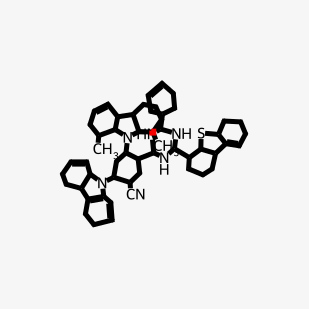 CC1CC=CC2C3CCCC(C)C3N(C3CC(N4C5=C(CCC=C5)C5CCC=CC54)C(C#N)CC3C3NC(C4CC=CCC4)NC(C4CCCC5C6=CCCCC6SC54)N3)C12